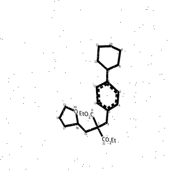 CCOC(=O)C(Cc1ccc(C2CCCCC2)cc1)(CC1CCCO1)C(=O)OCC